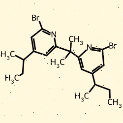 CCC(C)c1cc(Br)nc(C(C)(C)c2cc(C(C)CC)cc(Br)n2)c1